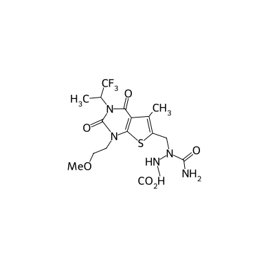 COCCn1c(=O)n(C(C)C(F)(F)F)c(=O)c2c(C)c(CN(NC(=O)O)C(N)=O)sc21